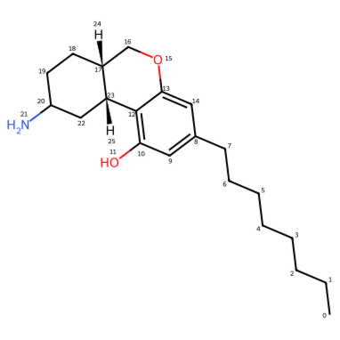 CCCCCCCCc1cc(O)c2c(c1)OC[C@H]1CCC(N)C[C@@H]21